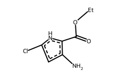 CCOC(=O)c1[nH]c(Cl)cc1N